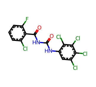 O=C(NC(=O)c1c(F)cccc1Cl)Nc1cc(Cl)c(Cl)c(Cl)c1Cl